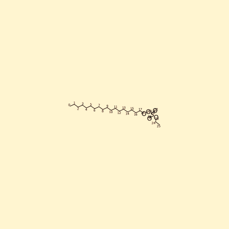 CCCCCCCCCCCCCCCCCCOOS(=O)(=O)OCC